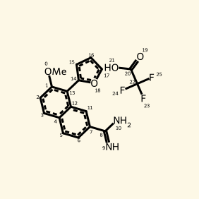 COc1ccc2ccc(C(=N)N)cc2c1-c1ccco1.O=C(O)C(F)(F)F